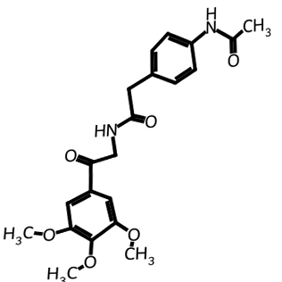 COc1cc(C(=O)CNC(=O)Cc2ccc(NC(C)=O)cc2)cc(OC)c1OC